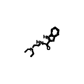 CCN(CC)CCNC(=O)c1cc2ccccc2[nH]1